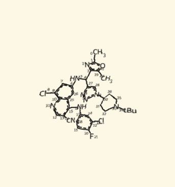 Cc1nc(C(Nc2cc(Cl)c3ncc(C#N)c(Nc4ccc(F)c(Cl)c4)c3c2)c2cn(C3CCN(C(C)(C)C)CC3)nn2)c(C)o1